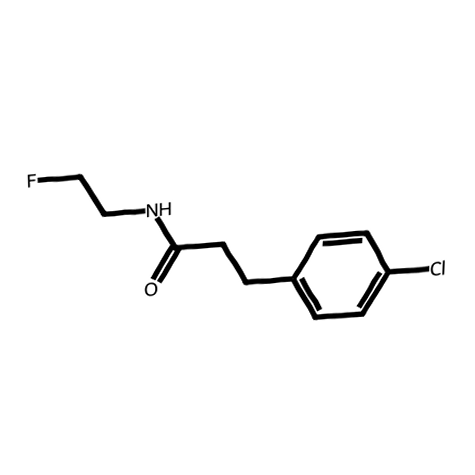 O=C(CCc1ccc(Cl)cc1)NCCF